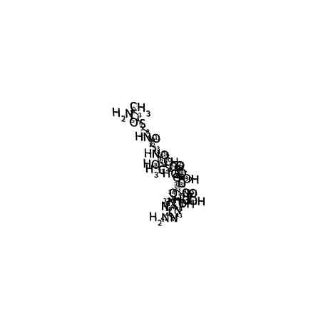 C[C@H](N)CC(=O)SCCNC(=O)CCNC(=O)C(O)C(C)(C)COP(=O)(O)OP(=O)(O)OC[C@H]1O[C@@H](n2cnc3c(N)ncnc32)[C@H](O)[C@@H]1OP(=O)(O)O